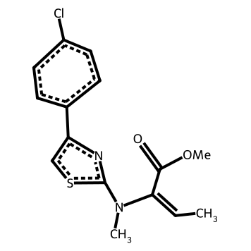 CC=C(C(=O)OC)N(C)c1nc(-c2ccc(Cl)cc2)cs1